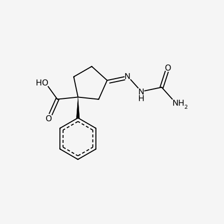 NC(=O)N/N=C1/CC[C@](C(=O)O)(c2ccccc2)C1